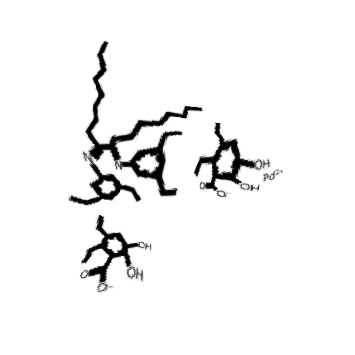 CCCCCCCCC(=Nc1cc(CC)cc(CC)c1)C(CCCCCCCC)=Nc1cc(CC)cc(CC)c1.CCc1cc(O)c(O)c(C(=O)[O-])c1CC.CCc1cc(O)c(O)c(C(=O)[O-])c1CC.[Pd+2]